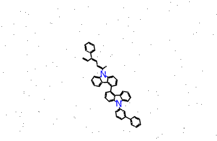 C=C/C(=C\C=C(/C)n1c2ccccc2c2c(-c3cccc4c3c3ccccc3n4-c3cccc(-c4ccccc4)c3)cccc21)c1ccccc1